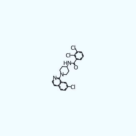 O=C(NC1CCN(c2nccc3ccc(Cl)cc23)CC1)c1cccc(Cl)c1Cl